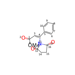 COC(=O)/C=C(/c1ccccc1)N1C(=O)CCC1=O